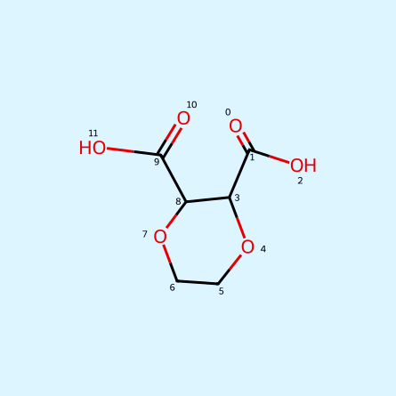 O=C(O)C1OCCOC1C(=O)O